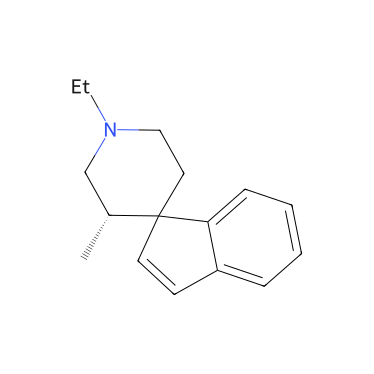 CCN1CCC2(C=Cc3ccccc32)[C@H](C)C1